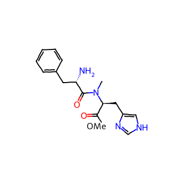 COC(=O)[C@H](Cc1c[nH]cn1)N(C)C(=O)[C@@H](N)Cc1ccccc1